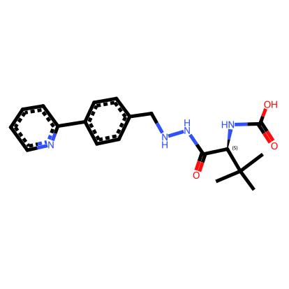 CC(C)(C)[C@H](NC(=O)O)C(=O)NNCc1ccc(-c2ccccn2)cc1